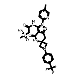 Cc1ccc(-n2nc3c(c2NC(=O)CS(C)(=N)=O)C(=O)NC2(C3)CN(c3ccc(C(F)(F)F)cc3)C2)nc1